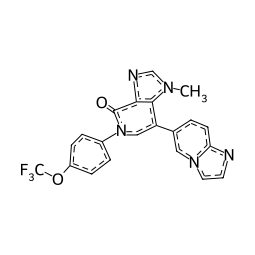 Cn1cnc2c(=O)n(-c3ccc(OC(F)(F)F)cc3)cc(-c3ccc4nccn4c3)c21